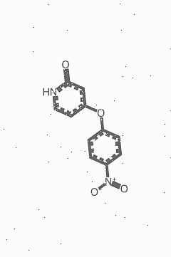 O=c1cc(Oc2ccc([N+](=O)[O-])cc2)cc[nH]1